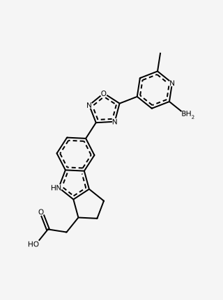 Bc1cc(-c2nc(-c3ccc4[nH]c5c(c4c3)CCC5CC(=O)O)no2)cc(C)n1